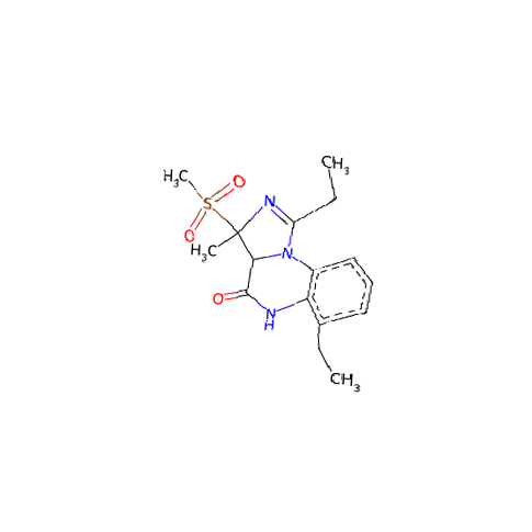 CCC1=NC(C)(S(C)(=O)=O)C2C(=O)Nc3c(CC)cccc3N12